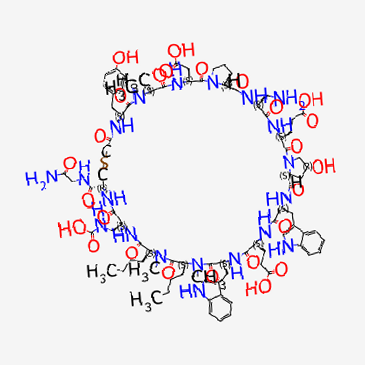 CCCC[C@H]1C(=O)N(C)[C@@H](CCCC)C(=O)N[C@@H](CNC(=O)O)C(=O)N[C@H](C(=O)NCC(N)=O)CSCC(=O)N[C@@H](Cc2ccc(O)cc2)C(=O)N(C)[C@@H](C)C(=O)N[C@@H](CC(=O)O)C(=O)N2CCC[C@H]2C(=O)N[C@@H](CN)C(=O)N[C@@H](CCC(=O)O)C(=O)N2C[C@H](O)C[C@H]2C(=O)N[C@@H](Cc2c[nH]c3ccccc23)C(=O)N[C@@H](CCC(=O)O)C(=O)N[C@@H](Cc2c[nH]c3ccccc23)C(=O)N1C